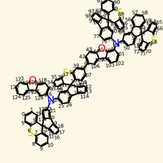 c1ccc2c(c1)Sc1ccccc1C21c2ccccc2-c2cc(N(c3ccc4c(c3)C3(c5ccccc5Sc5cc(-c6ccc7oc8c(N(c9ccc%10c(c9)-c9ccccc9C%109c%10ccccc%10Sc%10ccccc%109)c9ccc%10c(c9)C9(c%11ccccc%11Sc%11ccccc%119)c9ccccc9-%10)cccc8c7c6)ccc53)c3ccccc3-4)c3ccc4oc5ccccc5c4c3)ccc21